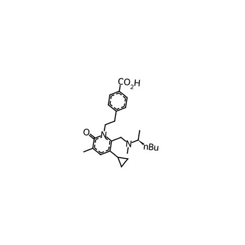 CCCC[C@H](C)N(C)Cc1c(C2CC2)cc(C)c(=O)n1CCc1ccc(C(=O)O)cc1